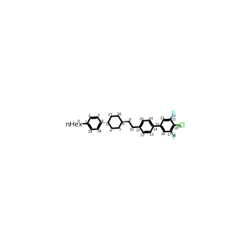 CCCCCCc1ccc([C@H]2CC[C@H](CCc3ccc(-c4cc(F)c(Cl)c(F)c4)cc3)CC2)cc1